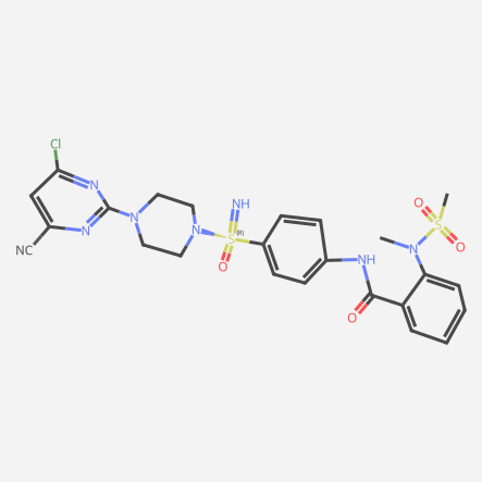 CN(c1ccccc1C(=O)Nc1ccc([S@@](=N)(=O)N2CCN(c3nc(Cl)cc(C#N)n3)CC2)cc1)S(C)(=O)=O